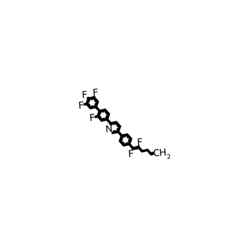 C=CCC/C(F)=C(\F)c1ccc(-c2ccc(-c3ccc(-c4cc(F)c(F)c(F)c4)c(F)c3)nc2)cc1